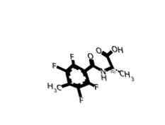 Cc1c(F)c(F)c(C(=O)N[C@@H](C)C(=O)O)c(F)c1F